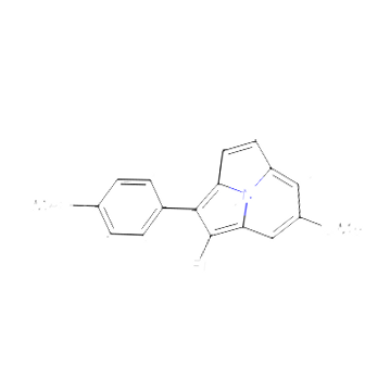 CCc1c(-c2ccc(OC)cc2)c2ccc3cc(OC)cc1n32